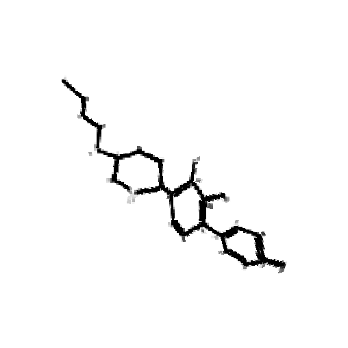 CCCCOC1CCC(c2ccc(-c3ccc(C)cc3)c(C)c2F)OC1